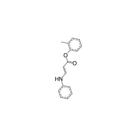 Cc1ccccc1OC(=O)C=CNc1ccccc1